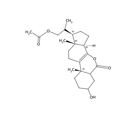 CC(=O)OCC(C)[C@H]1CC[C@H]2C3=C(CC[C@]12C)[C@@]1(C)CCC(O)CC1C(=O)O3